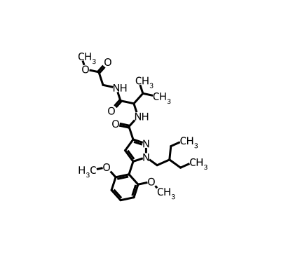 CCC(CC)Cn1nc(C(=O)NC(C(=O)NCC(=O)OC)C(C)C)cc1-c1c(OC)cccc1OC